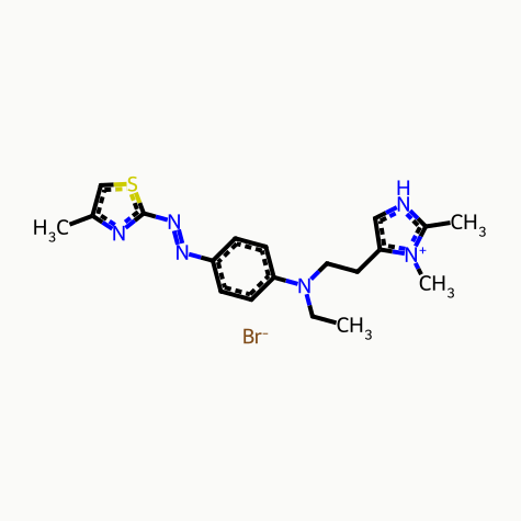 CCN(CCc1c[nH]c(C)[n+]1C)c1ccc(N=Nc2nc(C)cs2)cc1.[Br-]